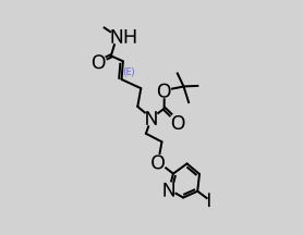 CNC(=O)/C=C/CCN(CCOc1ccc(I)cn1)C(=O)OC(C)(C)C